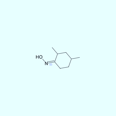 CC1CC/C(=N/O)C(C)C1